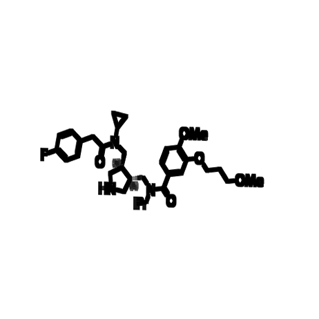 COCCCOc1cc(C(=O)N(C[C@@H]2CNC[C@H]2CN(C(=O)Cc2ccc(F)cc2)C2CC2)C(C)C)ccc1OC